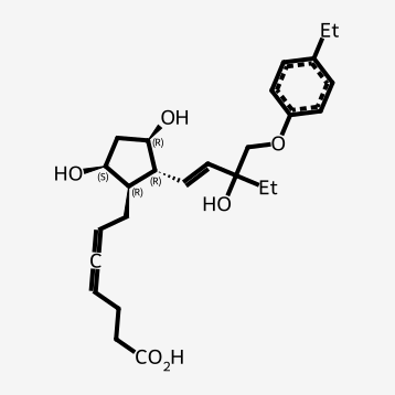 CCc1ccc(OCC(O)(C=C[C@@H]2[C@@H](CC=C=CCCC(=O)O)[C@@H](O)C[C@H]2O)CC)cc1